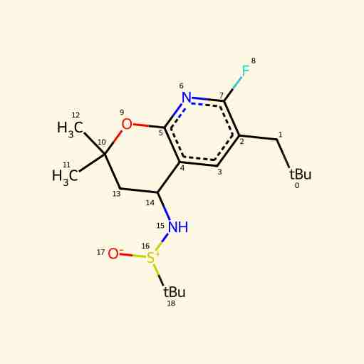 CC(C)(C)Cc1cc2c(nc1F)OC(C)(C)CC2N[S+]([O-])C(C)(C)C